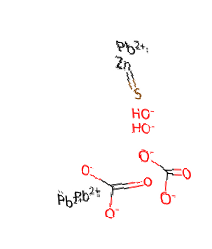 O=C([O-])[O-].O=C([O-])[O-].[OH-].[OH-].[Pb+2].[Pb+2].[Pb+2].[S]=[Zn]